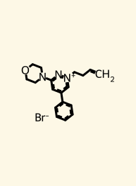 C=CCC[n+]1cc(-c2ccccc2)cc(N2CCOCC2)n1.[Br-]